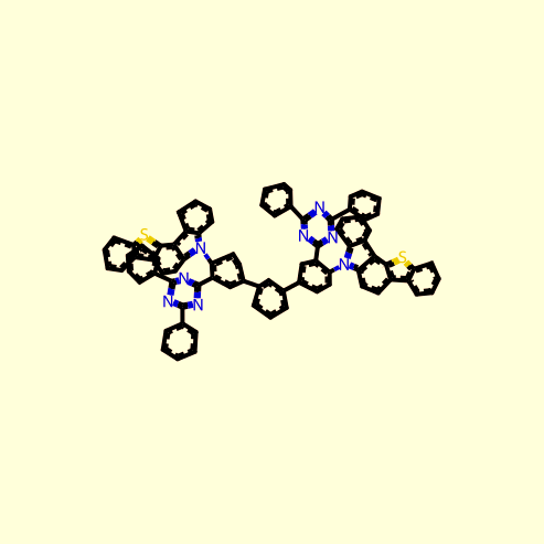 c1ccc(-c2nc(-c3ccccc3)nc(-c3cc(-c4cccc(-c5ccc(-n6c7ccccc7c7c8sc9ccccc9c8ccc76)c(-c6nc(-c7ccccc7)nc(-c7ccccc7)n6)c5)c4)ccc3-n3c4ccccc4c4c5sc6ccccc6c5ccc43)n2)cc1